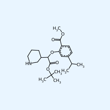 COC(=O)c1ccc(C(C)C)cc1OC(C(=O)OC(C)(C)C)C1CCCNC1